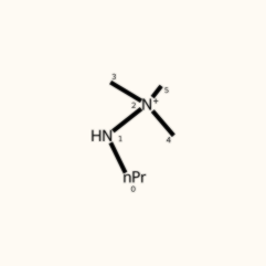 [CH2]CCN[N+](C)(C)C